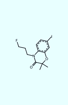 CC1(C)Oc2cc(I)ccc2N(CCCF)C1=O